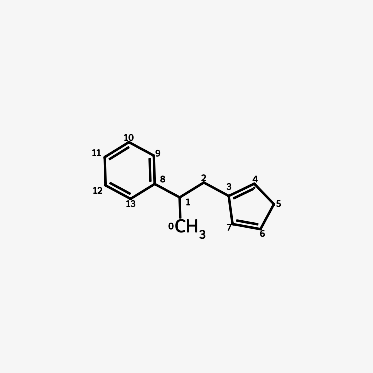 CC(CC1=[C]CC=C1)c1ccccc1